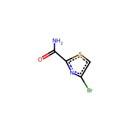 NC(=O)c1nc(Br)cs1